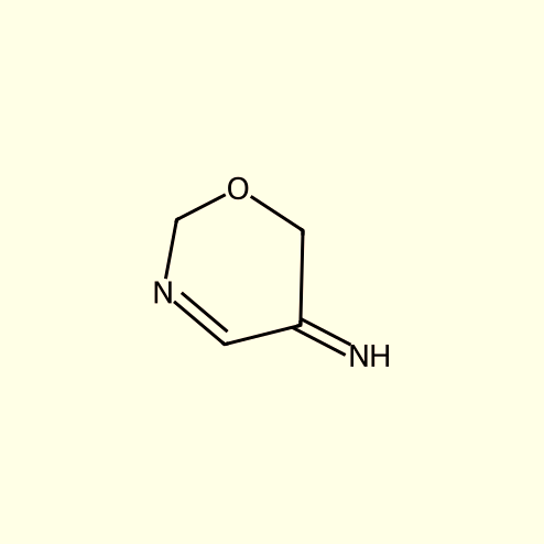 N=C1C=NCOC1